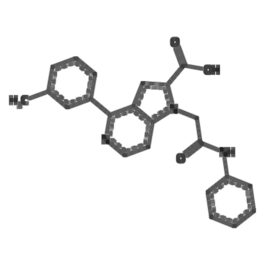 Cc1cccc(-c2nccc3c2cc(C(=O)O)n3CC(=O)Nc2ccccc2)c1